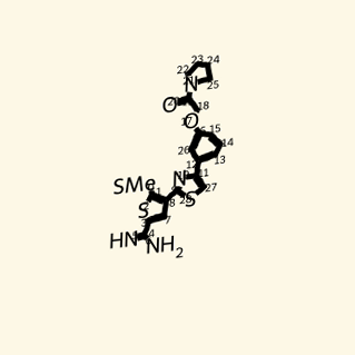 CSc1sc(C(=N)N)cc1-c1nc(-c2cccc(OCC(=O)N3CCCC3)c2)cs1